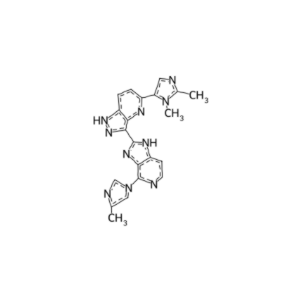 Cc1cn(-c2nccc3[nH]c(-c4n[nH]c5ccc(-c6cnc(C)n6C)nc45)nc23)cn1